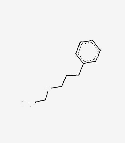 CCOC(=O)CNCCCc1ccccc1